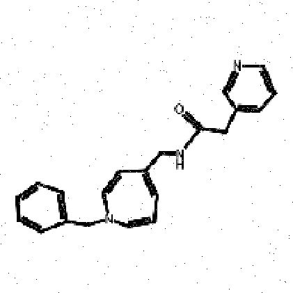 O=C(Cc1cccnc1)NCC1=CC=CN(Cc2ccccc2)C=C1